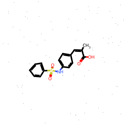 CC(=Cc1ccc(NS(=O)(=O)c2ccccc2)cc1)C(=O)O